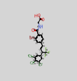 O=C(O)CNC(=O)c1ccc(C=CC(c2cc(Cl)c(Cl)c(Cl)c2)C(F)(F)F)cc1Br